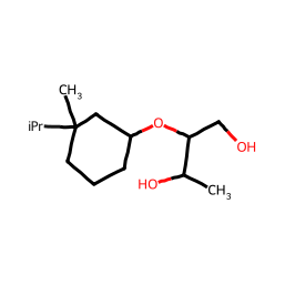 CC(O)C(CO)OC1CCCC(C)(C(C)C)C1